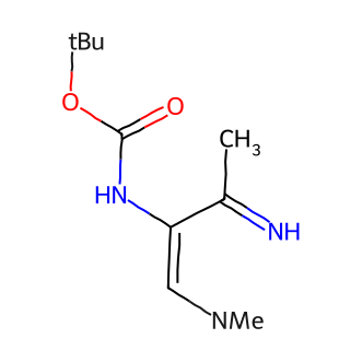 CN/C=C(/NC(=O)OC(C)(C)C)C(C)=N